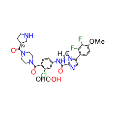 COc1ccc(-c2cnc(C(=O)Nc3ccc(C(=O)N4CCN(C(=O)[C@H]5CCNC5)CC4)c(Cl)c3)n2C)c(F)c1F.O=CO